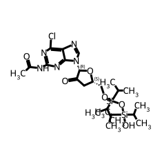 CC(=O)Nc1nc(Cl)c2ncn([C@@H]3O[C@H](CO[Si](O[Si](O)(C(C)C)C(C)C)(C(C)C)C(C)C)CC3=O)c2n1